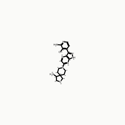 Nc1nccc(-c2n[nH]c3nc(N4CCC5(CC4)COCC5N)cnc23)c1Cl